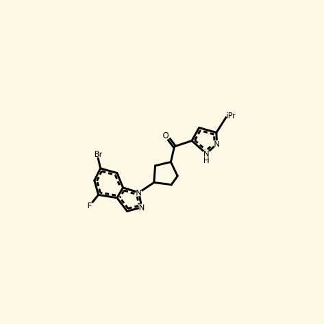 CC(C)c1cc(C(=O)C2CCC(n3ncc4c(F)cc(Br)cc43)C2)[nH]n1